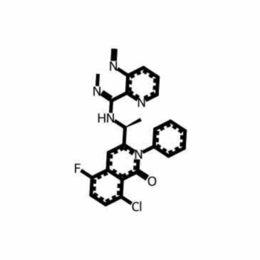 C=Nc1cccnc1/C(=N\C)N[C@@H](C)c1cc2c(F)ccc(Cl)c2c(=O)n1-c1ccccc1